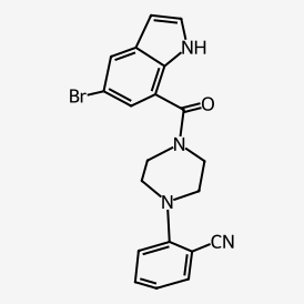 N#Cc1ccccc1N1CCN(C(=O)c2cc(Br)cc3cc[nH]c23)CC1